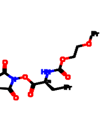 CC(C)C[C@H](NC(=O)OCCOC(C)C)C(=O)ON1C(=O)CCC1=O